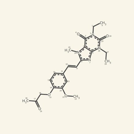 CCn1c(=O)c2c(nc(C=Cc3ccc(OCC(C)=O)c(OC)c3)n2C)n(CC)c1=O